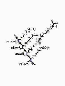 CC#C/C(CCCCCCCCCCCC)=C(/C#C/C(CCCCCCCCCCCC)=C(/C#C/C(CCCCCCCCCCCC)=C(/C#C/C(CCCCCCCCCCCC)=C(/C#CC)CCCCCCCCC(=O)O)CCCCCCCCC(=O)O)CCCCCCCCC(=O)NCCOCCOCCOCNC(=O)CC)CCCCCCCCC(=O)O